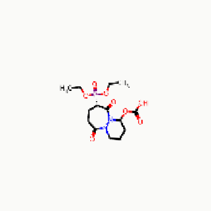 CCOP(=O)(OCC)[C@H]1CCC(=O)N2CCCC(OC(=O)O)N2C1=O